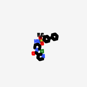 O=C(c1cccnc1Cl)N1CCC(NS(=O)(=O)c2ccc(-c3ccccc3)cc2C(F)(F)F)CC1